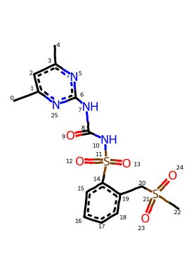 Cc1cc(C)nc(NC(=O)NS(=O)(=O)c2ccccc2CS(C)(=O)=O)n1